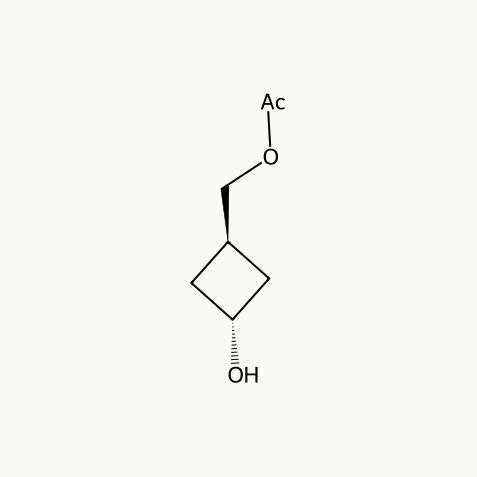 CC(=O)OC[C@H]1C[C@H](O)C1